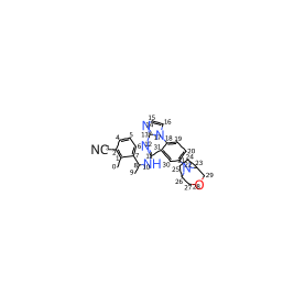 Cc1c(C#N)cccc1C(C)Nc1nc2nccn2c2ccc(N3C4CCC3COC4)cc12